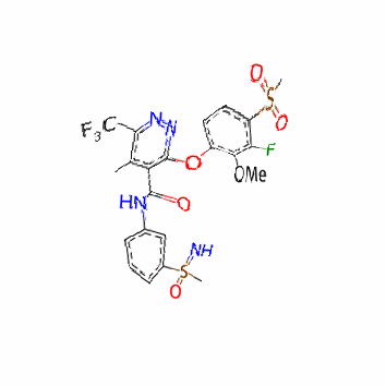 COc1c(Oc2nnc(C(F)(F)F)c(C)c2C(=O)Nc2cccc(S(C)(=N)=O)c2)ccc(S(C)(=O)=O)c1F